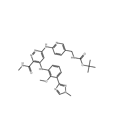 CNC(=O)c1nnc(Nc2ccc(CNC(=O)OC(C)(C)C)cn2)cc1Nc1cccc(-c2ncn(C)n2)c1OC